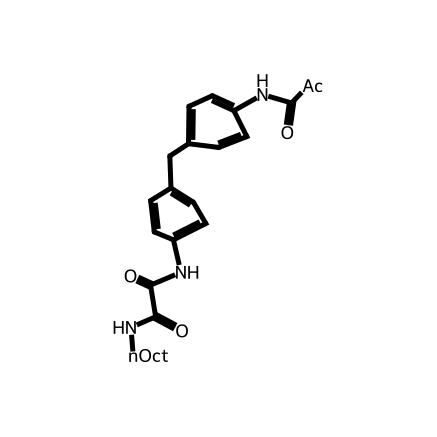 CCCCCCCCNC(=O)C(=O)Nc1ccc(Cc2ccc(NC(=O)C(C)=O)cc2)cc1